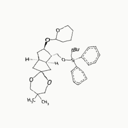 CC1(C)COC2(C[C@H]3C[C@@H](OC4CCCCO4)[C@H](CO[Si](c4ccccc4)(c4ccccc4)C(C)(C)C)[C@H]3C2)OC1